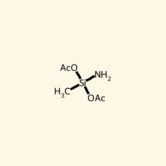 CC(=O)O[Si](C)(N)OC(C)=O